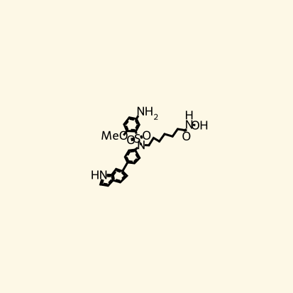 COc1ccc(N)cc1S(=O)(=O)N(CCCCCCC(=O)NO)c1ccc(-c2ccc3cc[nH]c3c2)cc1